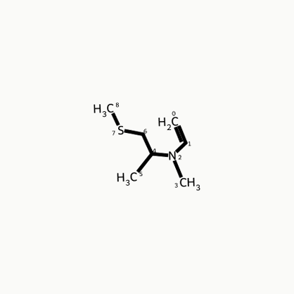 C=CN(C)C(C)CSC